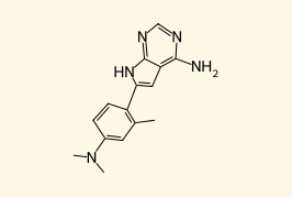 Cc1cc(N(C)C)ccc1-c1cc2c(N)ncnc2[nH]1